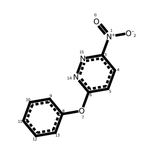 O=[N+]([O-])c1ccc(Oc2ccccc2)nn1